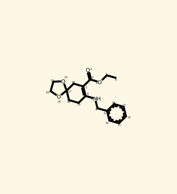 CCOC(=O)C1=C(NCc2ccccc2)CCC2(C1)OCCO2